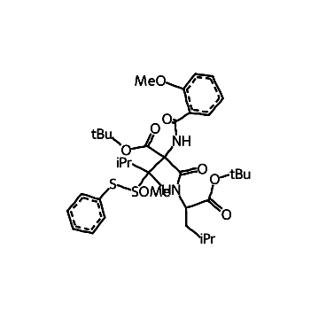 COc1ccccc1C(=O)NC(C(=O)NC(CC(C)C)C(=O)OC(C)(C)C)(C(=O)OC(C)(C)C)C(OC)(SSc1ccccc1)C(C)C